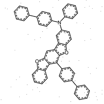 c1ccc(-c2ccc(-c3c4oc5ccc(N(c6ccccc6)c6ccc(-c7ccccc7)cc6)cc5c4cc4oc5ccccc5c34)cc2)cc1